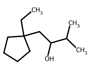 CCC1(CC(O)C(C)C)CCCC1